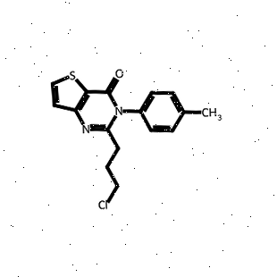 Cc1ccc(-n2c(CCCCl)nc3ccsc3c2=O)cc1